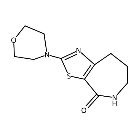 O=C1NCCCc2nc(N3CCOCC3)sc21